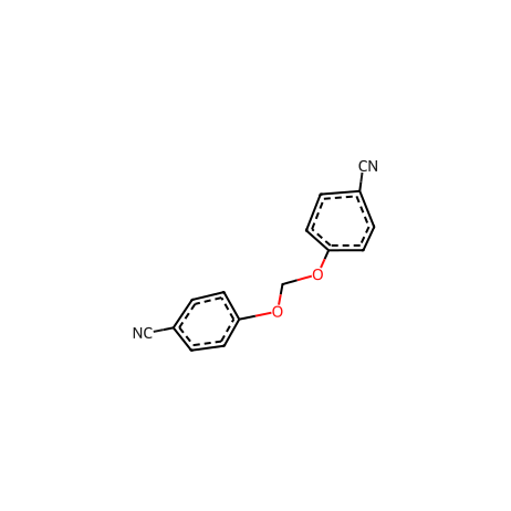 N#Cc1ccc(OCOc2ccc(C#N)cc2)cc1